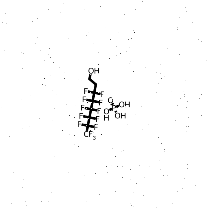 O=P(O)(O)O.OCCC(F)(F)C(F)(F)C(F)(F)C(F)(F)C(F)(F)C(F)(F)F